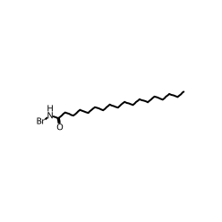 CCCCCCCCCCCCCCCCCC(=O)NBr